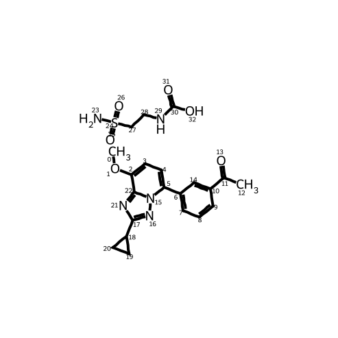 COc1ccc(-c2cccc(C(C)=O)c2)n2nc(C3CC3)nc12.NS(=O)(=O)CCNC(=O)O